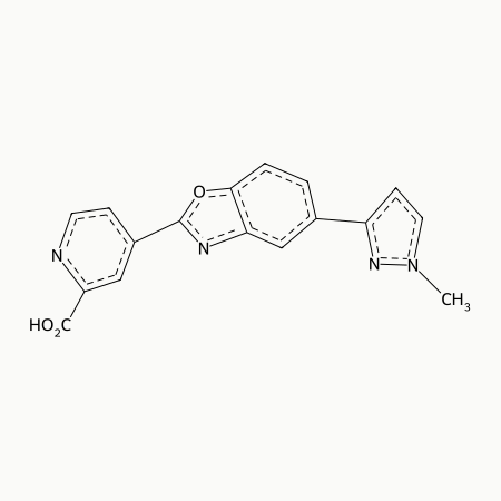 Cn1ccc(-c2ccc3oc(-c4ccnc(C(=O)O)c4)nc3c2)n1